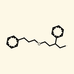 [CH2]CC(CCOCC[CH]c1ccccc1)c1ccccc1